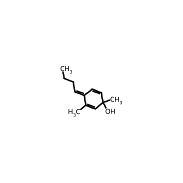 CCCC=C1C=CC(C)(O)C=C1C